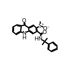 C[S+]([O-])c1cc2c(=O)c3ccccc3[nH]c2cc1C(=O)NC(C)(C)c1ccccc1